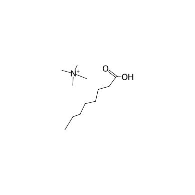 CCCCCCCC(=O)O.C[N+](C)(C)C